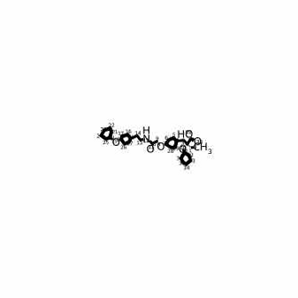 CC[C@@](Cc1ccc(OCC(=O)NCCc2ccc(Oc3ccccc3)cc2)cc1)(Oc1ccccc1)C(=O)O